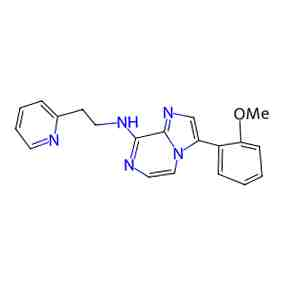 COc1ccccc1-c1cnc2c(NCCc3ccccn3)nccn12